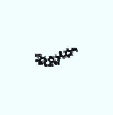 Cc1cn([C@@H]2O[C@H](CNC(=O)Cc3ccc([N+](=O)[O-])cc3)C(O)C2O)c(=O)[nH]c1=O